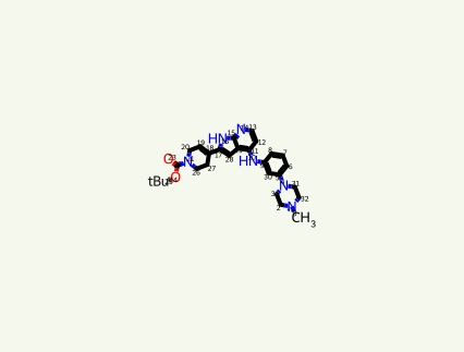 CN1CCN(c2cccc(Nc3ccnc4[nH]c(C5=CCN(C(=O)OC(C)(C)C)CC5)cc34)c2)CC1